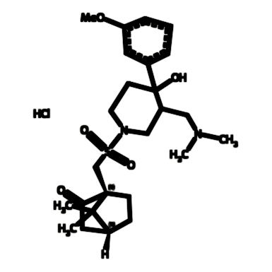 COc1cccc(C2(O)CCN(S(=O)(=O)C[C@]34CC[C@H](CC3=O)C4(C)C)CC2CN(C)C)c1.Cl